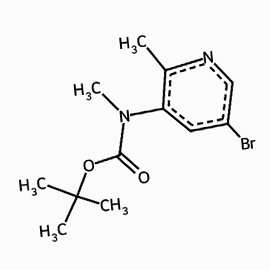 Cc1ncc(Br)cc1N(C)C(=O)OC(C)(C)C